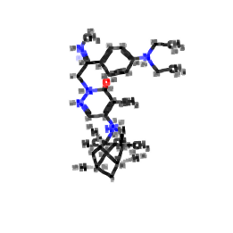 Bc1c(N[C@@H]2C[C@@H]3C[C@H]([C@H]2C)C3(C)C)cnn(C/C(=N/C)c2ccc(N(CC)CC)cc2)c1=O